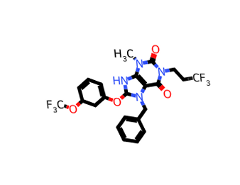 Cn1c2c(c(=O)n(CCC(F)(F)F)c1=O)N(Cc1ccccc1)C(OC1=CC=CC(OC(F)(F)F)C1)N2